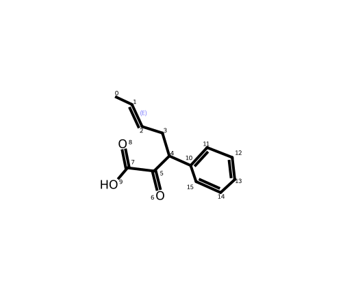 C/C=C/CC(C(=O)C(=O)O)c1ccccc1